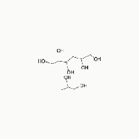 CC(O)CO.OCC(O)CC(O)C(O)CO